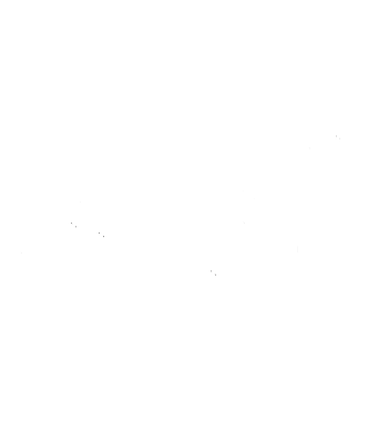 CC1CN(Cc2ccc(-c3cc(C(F)(F)F)n(C)n3)s2)CCC1(C)c1cccc(C(N)=O)c1